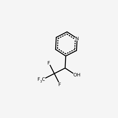 OC(c1cccnc1)C(F)(F)C(F)(F)F